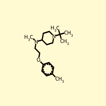 Cc1ccc(OCCN(C)C2CCN(C(C)(C)C)CC2)cc1